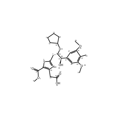 COC(=O)c1sc(C[C@H](OC2CCCC2)[C@H](O)c2cc(OC)c(C)c(OC)c2)nc1CC(=O)O